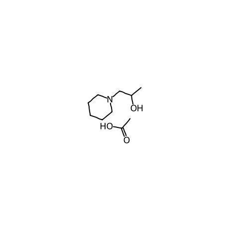 CC(=O)O.CC(O)CN1CCCCC1